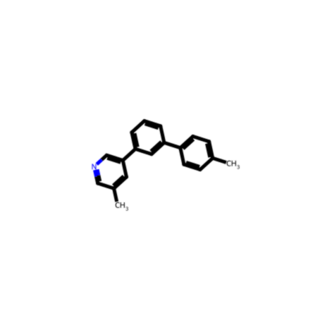 Cc1ccc(-c2cccc(-c3cncc(C)c3)c2)cc1